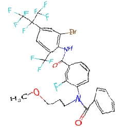 COCCCN(C(=O)c1ccccc1)c1cccc(C(=O)Nc2c(Br)cc(C(F)(C(F)(F)F)C(F)(F)F)cc2C(F)(F)F)c1F